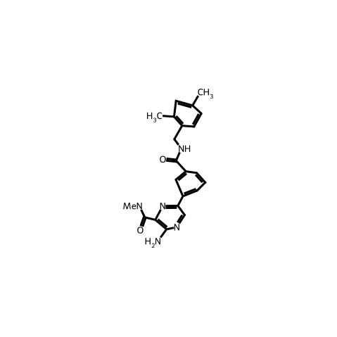 CNC(=O)c1nc(-c2cccc(C(=O)NCc3ccc(C)cc3C)c2)cnc1N